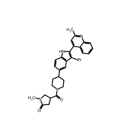 Cc1cc(-c2[nH]c3ccc(C4CCN(C(=O)C5CC(=O)N(C)C5)CC4)cc3c2C(C)C)c2ccccc2n1